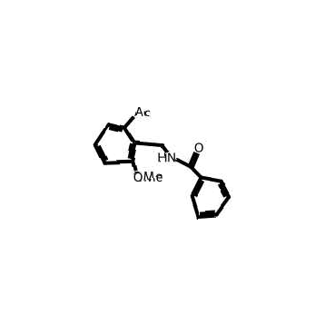 COc1cccc(C(C)=O)c1CNC(=O)c1ccccc1